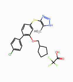 O=C(O)C(F)(F)F.O=C(O)c1[nH]nnc1Sc1ccc(-c2ccc(Cl)cc2)c(OCC2CCCC2)c1